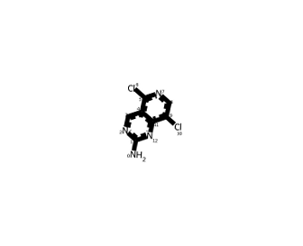 Nc1ncc2c(Cl)ncc(Cl)c2n1